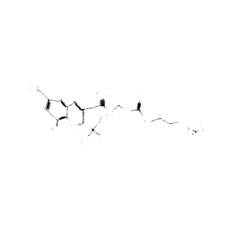 Cc1cc(Cl)cc2c1O[C@H](C(F)(F)F)C(C(=O)OCOC(=O)OCCON=O)=C2